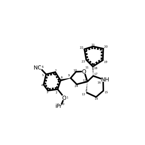 CC(C)Oc1ccc(C#N)cc1[C@H]1CO[C@]2(CCCN[C@H]2c2ccccc2)C1